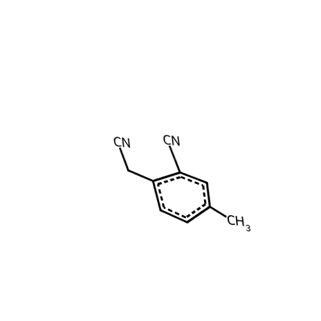 Cc1ccc(CC#N)c(C#N)c1